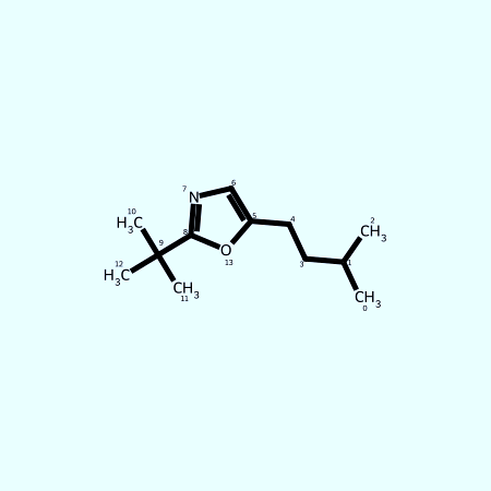 CC(C)CCc1cnc(C(C)(C)C)o1